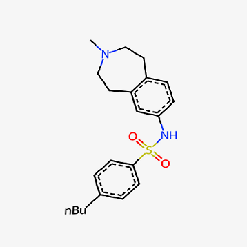 CCCCc1ccc(S(=O)(=O)Nc2ccc3c(c2)CCN(C)CC3)cc1